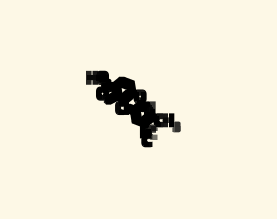 [C-]#[N+]c1cc(Cl)c(Oc2ccc3c(c2)COB3O)nc1C